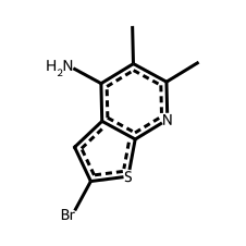 Cc1nc2sc(Br)cc2c(N)c1C